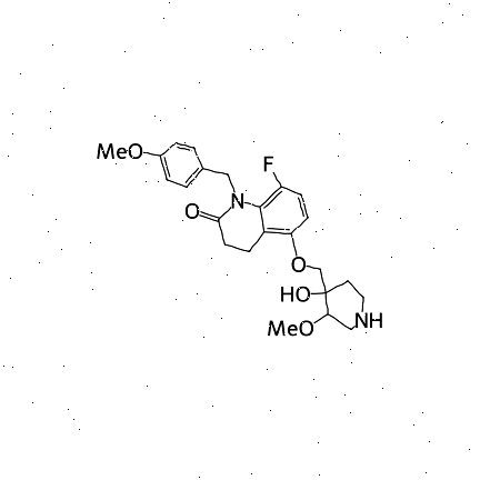 COc1ccc(CN2C(=O)CCc3c(OCC4(O)CCNCC4OC)ccc(F)c32)cc1